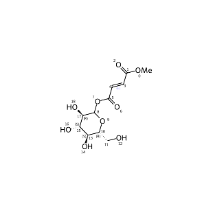 COC(=O)/C=C/C(=O)OC1O[C@H](CO)[C@@H](O)[C@H](O)[C@H]1O